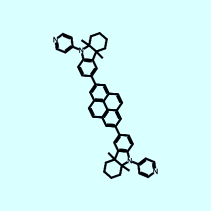 CC12CCCCC1(C)N(c1ccncc1)c1ccc(-c3cc4ccc5cc(-c6ccc7c(c6)C6(C)CCCCC6(C)N7c6ccncc6)cc6ccc(c3)c4c56)cc12